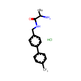 CCCCC(N)C(=O)NCc1ccc(-c2ccc(C(F)(F)F)cc2)cc1.Cl